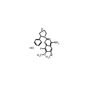 COc1cc2c(N)nc(N3CCNCC3c3ccccc3)nc2c(F)c1OC.Cl